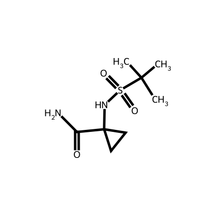 CC(C)(C)S(=O)(=O)NC1(C(N)=O)CC1